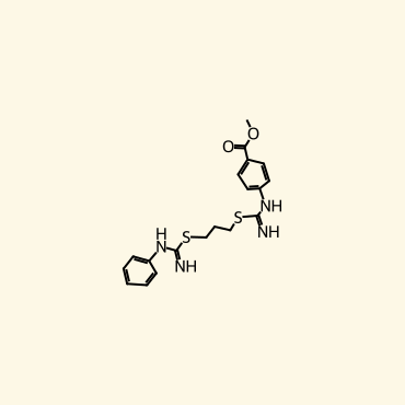 COC(=O)c1ccc(NC(=N)SCCCSC(=N)Nc2ccccc2)cc1